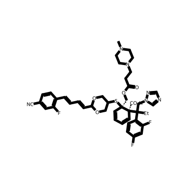 CCC(Cn1cncn1)(c1ccc(F)cc1F)[C@@]1(C(=O)O)C=CC=C[C@@]1(COC(=O)CCN1CCN(C)CC1)SC1COC(C=CC=Cc2ccc(C#N)cc2F)OC1